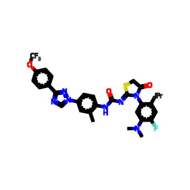 Cc1cc(-n2cnc(-c3ccc(OC(F)(F)F)cc3)n2)ccc1NC(=O)/N=C1\SCC(=O)N1c1cc(N(C)C)c(F)cc1C(C)C